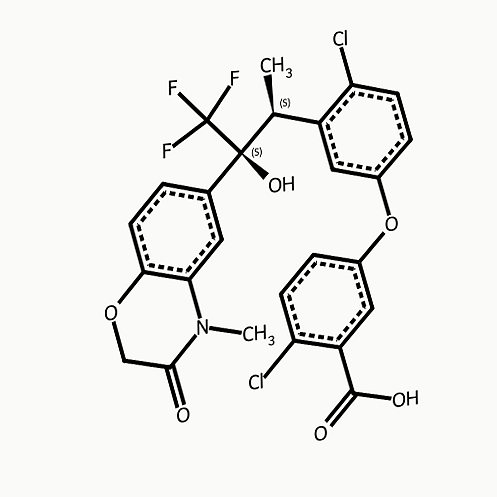 C[C@@H](c1cc(Oc2ccc(Cl)c(C(=O)O)c2)ccc1Cl)[C@](O)(c1ccc2c(c1)N(C)C(=O)CO2)C(F)(F)F